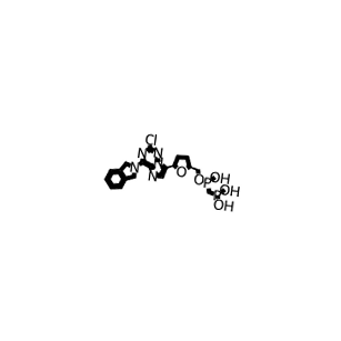 OP(O)CP(O)OC[C@@H]1CC[C@H](c2cnc3c(N4Cc5ccccc5C4)nc(Cl)nn23)O1